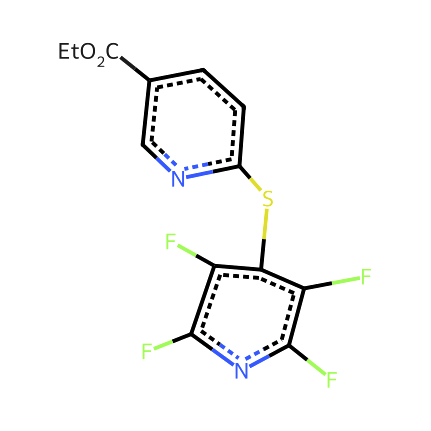 CCOC(=O)c1ccc(Sc2c(F)c(F)nc(F)c2F)nc1